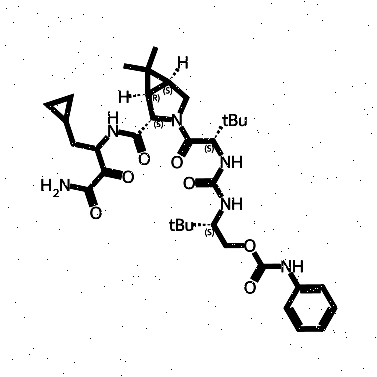 CC(C)(C)[C@H](NC(=O)N[C@H](COC(=O)Nc1ccccc1)C(C)(C)C)C(=O)N1C[C@H]2[C@@H]([C@H]1C(=O)NC(CC1CC1)C(=O)C(N)=O)C2(C)C